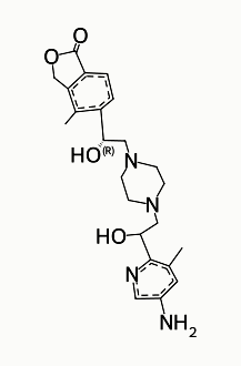 Cc1cc(N)cnc1C(O)CN1CCN(C[C@H](O)c2ccc3c(c2C)COC3=O)CC1